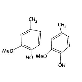 COc1cc(C)ccc1O.COc1cc(C)ccc1O